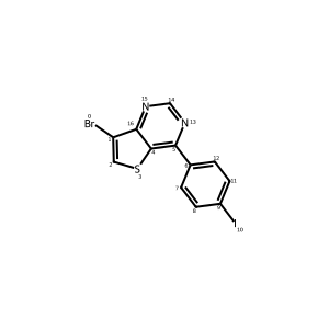 Brc1csc2c(-c3ccc(I)cc3)ncnc12